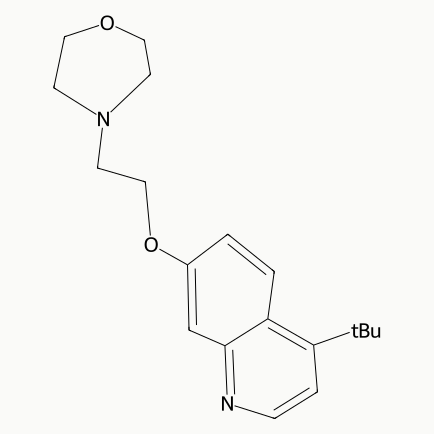 CC(C)(C)c1ccnc2cc(OCCN3CCOCC3)ccc12